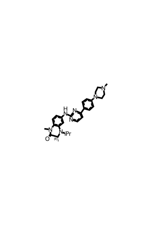 CC(C)N1c2cc(Nc3nccc(-c4ccc(N5CCN(C)CC5)cc4)n3)ccc2N(C)C(=O)[C@H]1C